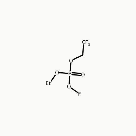 CCOP(=O)(OF)OCC(F)(F)F